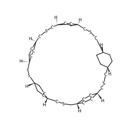 C1C[C@H]2CC[C@@H]1CSC[C@@H]1CC[C@@H](CC1)CSC[C@@H]1CC[C@@H](CC1)CS[C@H]1CC[C@H](CC1)CSC[C@H]1CC[C@H](CC1)CSC2